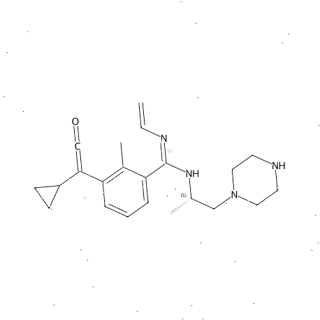 C=C/N=C(/N[C@@H](C)CN1CCNCC1)c1cccc(C(=C=O)C2CC2)c1C